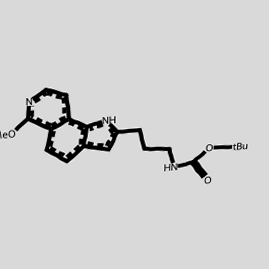 COc1nccc2c1ccc1cc(CCCNC(=O)OC(C)(C)C)[nH]c12